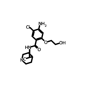 Nc1cc(OCCO)c(C(=O)NC2CN3CCC2CC3)cc1Cl